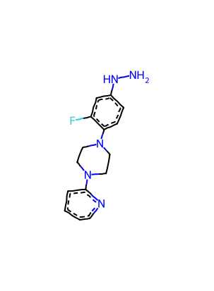 NNc1ccc(N2CCN(c3ccccn3)CC2)c(F)c1